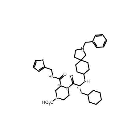 O=C(NCc1cccs1)[C@@H]1CN(C(=O)O)CCN1C(=O)[C@@H](CC1CCCCC1)NC1CCC2(CC1)CCN(Cc1ccccc1)C2